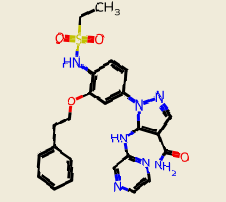 CCS(=O)(=O)Nc1ccc(-n2ncc(C(N)=O)c2Nc2cnccn2)cc1OCCc1ccccc1